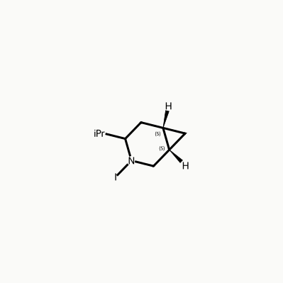 CC(C)C1C[C@@H]2C[C@@H]2CN1I